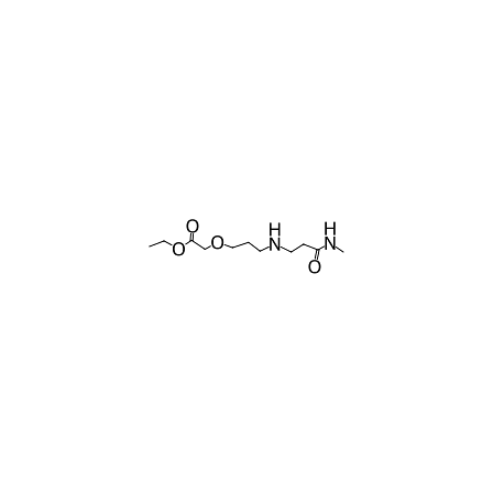 CCOC(=O)COCCCNCCC(=O)NC